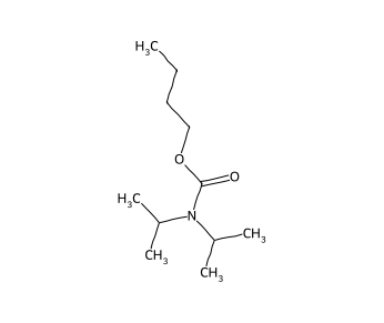 CCCCOC(=O)N(C(C)C)C(C)C